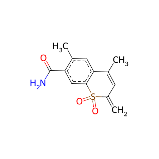 C=C1C=C(C)c2cc(C)c(C(N)=O)cc2S1(=O)=O